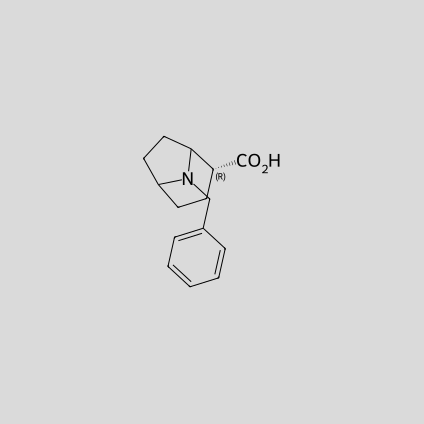 O=C(O)[C@@H]1CCC2CCC1N2Cc1ccccc1